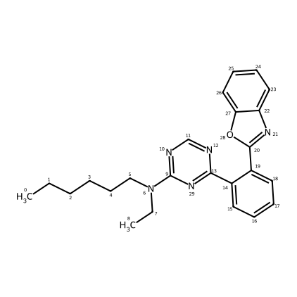 CCCCCCN(CC)c1ncnc(-c2ccccc2-c2nc3ccccc3o2)n1